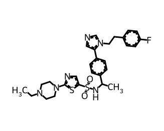 CCN1CCN(c2ncc(S(=O)(=O)NC(C)c3ccc(-c4cncn4CCc4ccc(F)cc4)cc3)s2)CC1